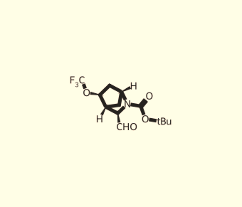 CC(C)(C)OC(=O)N1[C@@H]2C[C@@H]([C@@H](OC(F)(F)F)C2)[C@@H]1C=O